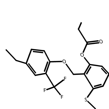 CCC(=O)Oc1cccc(SC)c1COc1ccc(CC)cc1C(F)(F)F